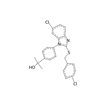 CC(C)(O)c1ccc(-n2c(SCc3ccc(Cl)cc3)nc3ccc(Cl)cc32)cc1